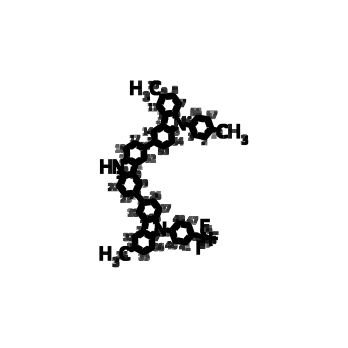 Cc1ccc(-n2c3ccc(C)cc3c3cc(-c4ccc5[nH]c6ccc(-c7ccc8c(c7)c7cc(C)ccc7n8-c7ccc(C(F)(F)F)cc7)cc6c5c4)ccc32)cc1